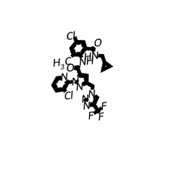 Cc1cc(Cl)cc(C(=O)NCC2CC2)c1NC(=O)c1cc(Cn2cc(C(F)(F)F)nn2)nn1-c1ncccc1Cl